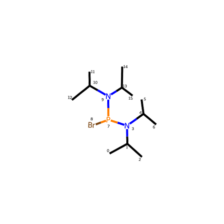 CC(C)N(C(C)C)P(Br)N(C(C)C)C(C)C